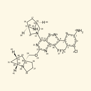 Nc1cc(Cl)c(C(F)(F)F)c(-c2ncc3c(N4C[C@H]5CC[C@@H](C4)N5)nc(OC[C@]45CCCN4[C@@H]4C[C@@H]4C5)nc3c2F)c1